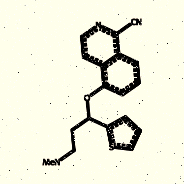 CNCCC(Oc1cccc2c(C#N)nccc12)c1cccs1